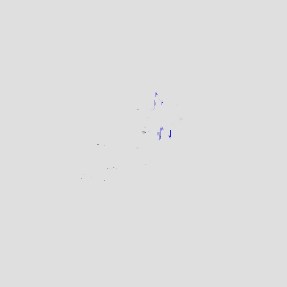 C=C(C)C1CC=C(c2nc(C)c(C)nc2C)CC1